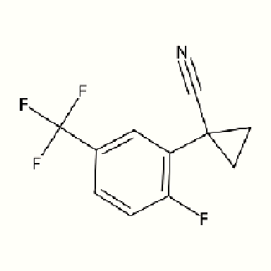 N#CC1(c2cc(C(F)(F)F)ccc2F)CC1